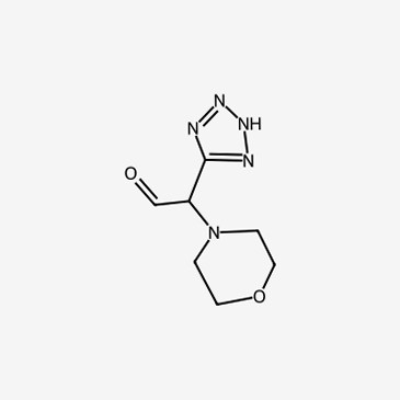 O=CC(c1nn[nH]n1)N1CCOCC1